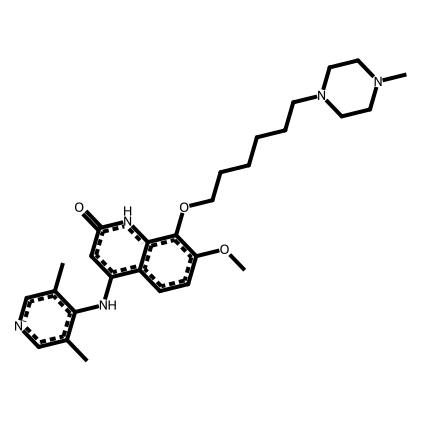 COc1ccc2c(Nc3c(C)cncc3C)cc(=O)[nH]c2c1OCCCCCCN1CCN(C)CC1